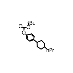 CCCC1CCC(c2ccc(OC(=O)OC(C)(C)C)cc2)CC1